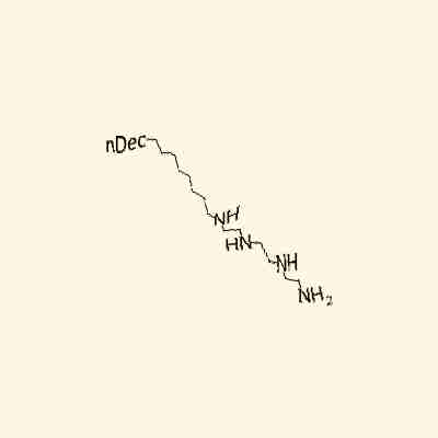 CCCCCCCCCCCCCCCCCCNCCNCCNCCN